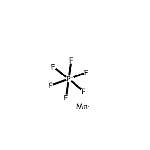 F[P-](F)(F)(F)(F)F.[Mn]